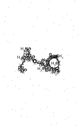 COc1cc2cc(c1Cl)N(C)C(=O)C[C@H](OC(=O)[C@H](N)N(C)C(=O)CCN(C)C(=O)OCc1ccc(NC(=O)[C@H](CCCNC(N)=O)NC(=O)[C@@H](NC(=O)CCCCC(=O)ON3C(=O)CCC3=O)C(C)C)cc1)[C@]1(C)O[C@H]1[C@H](C)[C@@H]1C[C@@](O)(NC(=O)O1)[C@H](OC)/C=C/C=C(\C)C2